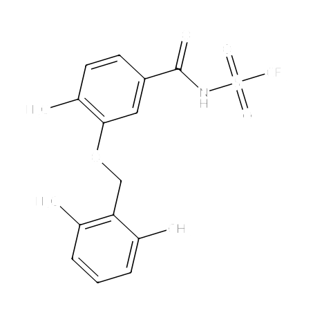 Cc1ccc(C(=O)NS(=O)(=O)C(F)(F)F)cc1OCc1c(C)cccc1C